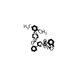 Cc1ccc(C)c(N2CCN(C(=O)[C@@H]3CN(S(=O)(=O)c4cccc5conc45)C[C@H]3c3ccccc3)CC2)c1